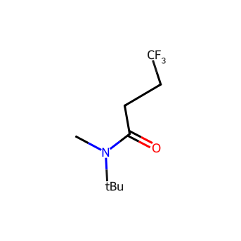 CN(C(=O)CCC(F)(F)F)C(C)(C)C